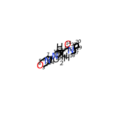 O=C(O)N1C2COCC1CC(N1C[C@@H]3C(C(=O)N4CCC45CCC5)[C@@H]3C1)C2